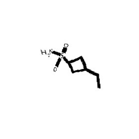 CCC1CC(S(N)(=O)=O)C1